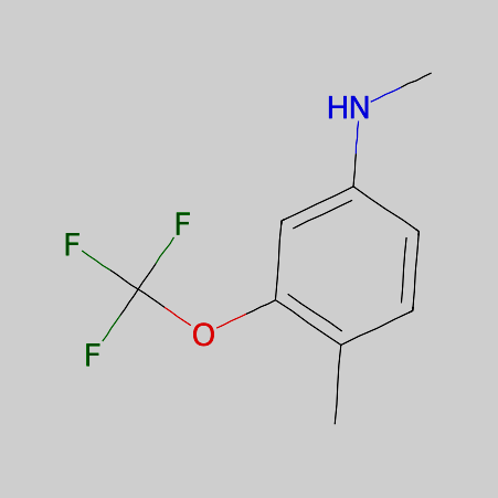 CNc1ccc(C)c(OC(F)(F)F)c1